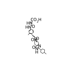 Cc1cc(NC(=O)NCC(=O)O)ccc1C=CS(=O)(=O)N1CCC2(CC1)N=C(C1CCC(C)CC1)NC2=O